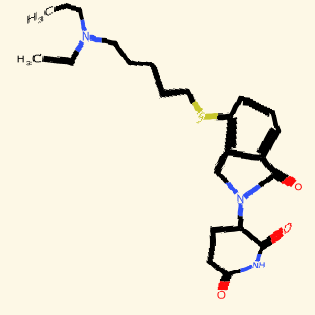 CCN(CC)CCCCCSc1cccc2c1CN(C1CCC(=O)NC1=O)C2=O